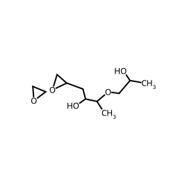 C1CO1.CC(O)COC(C)C(O)CC1CO1